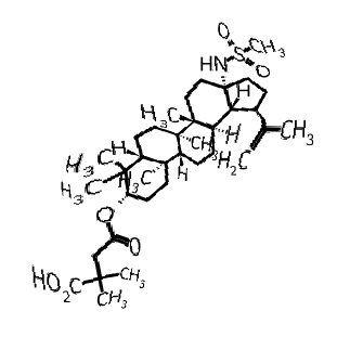 C=C(C)[C@@H]1CC[C@]2(NS(C)(=O)=O)CC[C@]3(C)[C@H](CC[C@@H]4[C@@]5(C)CC[C@H](OC(=O)CC(C)(C)C(=O)O)C(C)(C)[C@@H]5CC[C@]43C)[C@@H]12